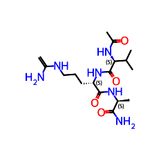 C=C(N)NCCC[C@H](NC(=O)[C@@H](NC(C)=O)C(C)C)C(=O)N[C@@H](C)C(N)=O